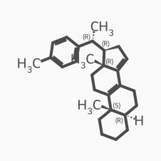 Cc1ccc([C@H](C)[C@H]2CC=C3C4=C(CC[C@@]32C)[C@@]2(C)CCCC[C@@H]2CC4)cc1